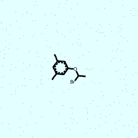 Cc1cc(C)cc(OC(C)Br)c1